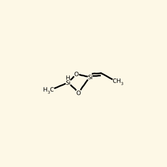 CC=[Si]1O[SiH](C)O1